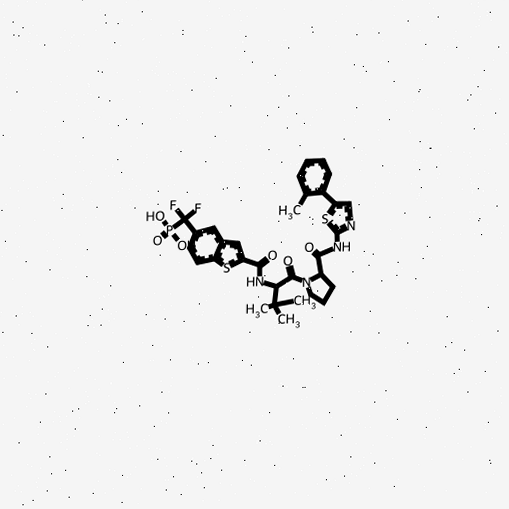 Cc1ccccc1-c1cnc(NC(=O)C2CCCN2C(=O)C(NC(=O)c2cc3cc(C(F)(F)P(=O)(O)O)ccc3s2)C(C)(C)C)s1